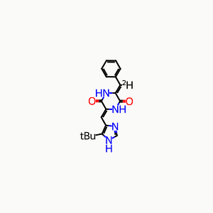 [2H]/C(c1ccccc1)=c1/[nH]c(=O)/c(=C/c2nc[nH]c2C(C)(C)C)[nH]c1=O